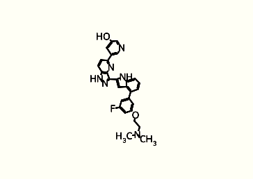 CN(C)CCOc1cc(F)cc(-c2cccc3[nH]c(-c4n[nH]c5ccc(-c6cncc(O)c6)nc45)cc23)c1